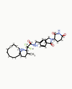 CC1CCC2(CCCCCCCCCC2)NC1C(F)(F)C(=O)NCc1ccc2c(c1)CN(C1CCC(=O)NC1=O)C2=O